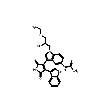 CCOCC(O)Cn1cc(C2=C(c3c[nH]c4ccccc34)C(=O)NC2=O)c2cc(NC(C)=O)ccc21